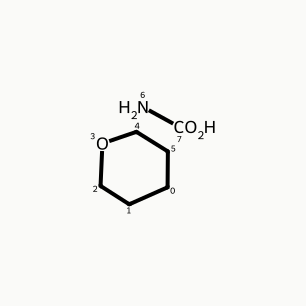 C1CCOCC1.NC(=O)O